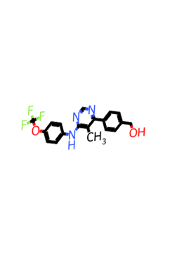 Cc1c(Nc2ccc(OC(F)(F)F)cc2)ncnc1-c1ccc(CO)cc1